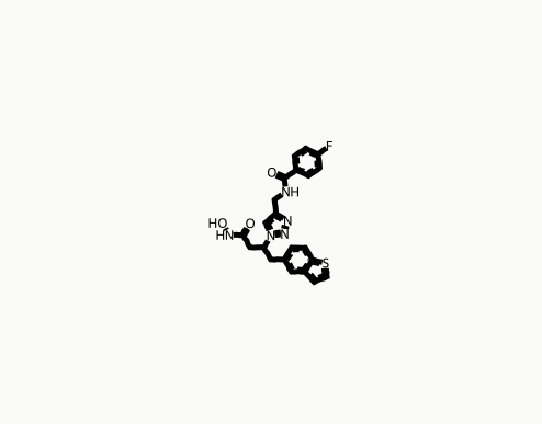 O=C(CC(Cc1ccc2sccc2c1)n1cc(CNC(=O)c2ccc(F)cc2)nn1)NO